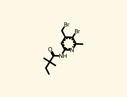 CCC(C)(C)C(=O)Nc1cc(CBr)c(Br)c(C)n1